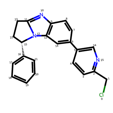 ClCc1ccc(-c2ccc3nc4n(c3c2)[C@H](c2ccccc2)CC4)cn1